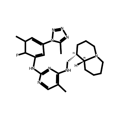 Cc1cnc(NC2=CC(n3nnnc3C)=CC(C)C2F)nc1NC[C@@H]1CCCN2CCCC[C@H]12